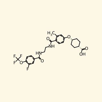 Cc1cc(O[C@H]2CC[C@@H](C(=O)O)CC2)ccc1C(=O)NCCNC(=O)c1ccc(OC(F)(F)F)c(F)c1